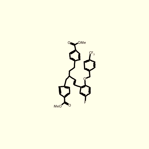 COC(=O)c1ccc(CCC(/C=C/c2cc(F)ccc2OCc2ccc(C(F)(F)F)cc2)Cc2ccc(C(=O)OC)cc2)cc1